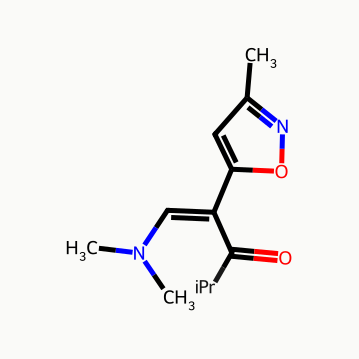 Cc1cc(C(=CN(C)C)C(=O)C(C)C)on1